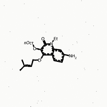 CCCCCCCCOc1c(OCC=C(C)C)c2ccc(N)cc2n(CC)c1=O